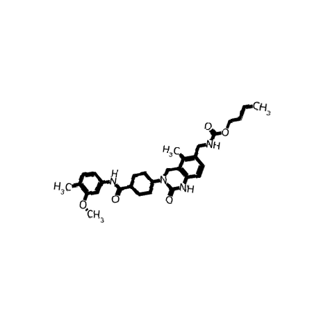 CCCCOC(=O)NCc1ccc2c(c1C)CN(C1CCC(C(=O)Nc3ccc(C)c(OC)c3)CC1)C(=O)N2